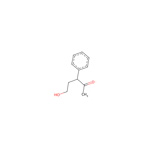 CC(=O)C(CCO)c1ccccc1